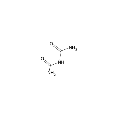 NC(=O)NC(N)=O